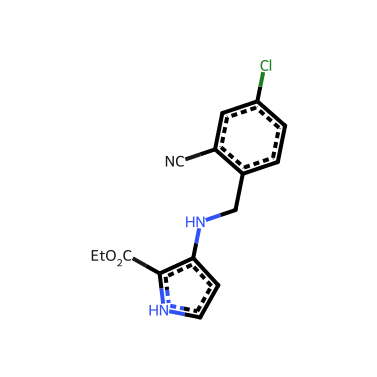 CCOC(=O)c1[nH]ccc1NCc1ccc(Cl)cc1C#N